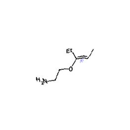 C/C=C(\CC)OCCN